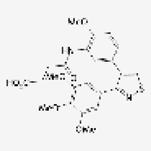 COc1ccc(-c2csnc2-c2cc(OC)c(OC)c(OC)c2)cc1NC(=O)CCC(=O)O